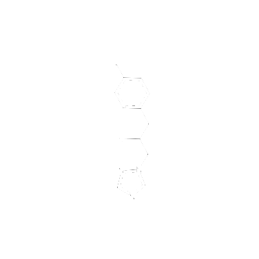 OC(Cc1ccc(Cl)cc1)Cn1cncn1